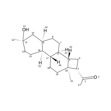 CC(=O)[C@H]1C[C@H]2[C@@H]3CC[C@@H]4C[C@](C)(O)CC[C@@H]4[C@H]3CC[C@]12C